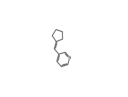 C(=C1CCCC1)c1cccnc1